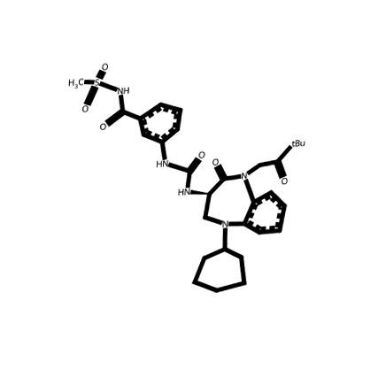 CC(C)(C)C(=O)CN1C(=O)[C@H](NC(=O)Nc2cccc(C(=O)NS(C)(=O)=O)c2)CN(C2CCCCC2)c2ccccc21